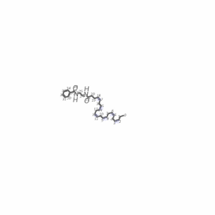 CC/C=C\C/C=C\C/C=C\C/C=C\C/C=C\C/C=C\CCC(=O)NCCNC(=O)c1ccccc1